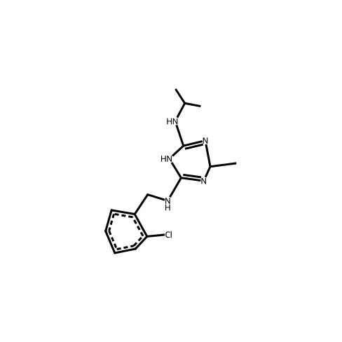 CC1N=C(NCc2ccccc2Cl)NC(NC(C)C)=N1